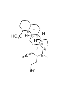 C=C=CC(CCC(C)C)[C@@H](C)[C@H]1CC[C@H]2[C@@H]3CCC4CCCC(C(=O)O)[C@]4(C)[C@H]3CC[C@]12C